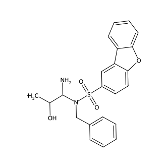 [CH2]C(O)C(N)N(Cc1ccccc1)S(=O)(=O)c1ccc2oc3ccccc3c2c1